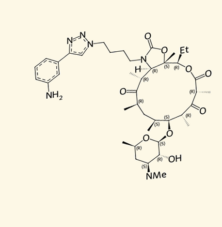 CC[C@H]1OC(=O)[C@H](C)C(=O)[C@H](C)[C@@H](O[C@@H]2O[C@H](C)C[C@H](NC)[C@H]2O)[C@@H](C)C[C@@H](C)C(=O)[C@H](C)[C@H]2N(CCCCn3cc(-c4cccc(N)c4)nn3)C(=O)O[C@]12C